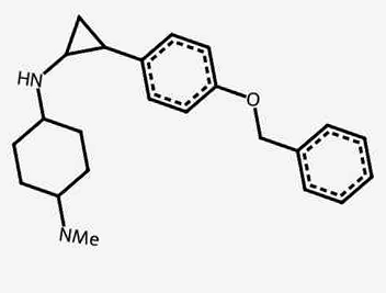 CNC1CCC(NC2CC2c2ccc(OCc3ccccc3)cc2)CC1